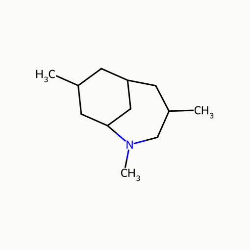 CC1CC2CC(C)CN(C)C(C1)C2